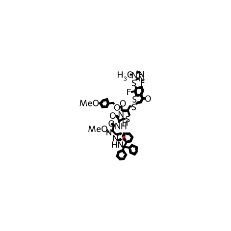 CO/N=C(\C(=O)NC1C(=O)N2C(C(=O)OCc3ccc(OC)cc3)=C(CSc3cc(=O)c4cc(F)c(Sc5nncn5C)c(F)c4s3)CS[C@@H]12)c1csc(NC(c2ccccc2)(c2ccccc2)c2ccccc2)n1